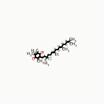 CC/C(=C\CCC(C)(Cl)CCC1=C(C)C(=O)C(C)=C(C)C1=O)CC/C=C(\C)CCC=C(C)C